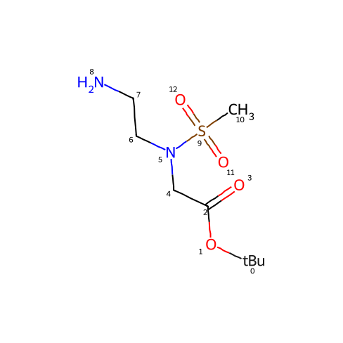 CC(C)(C)OC(=O)CN(CCN)S(C)(=O)=O